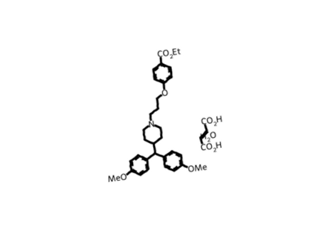 CCOC(=O)c1ccc(OCCCN2CCC(C(c3ccc(OC)cc3)c3ccc(OC)cc3)CC2)cc1.O.O=C(O)C=CC(=O)O